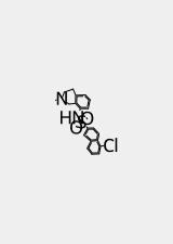 CN1CCc2cccc(NS(=O)(=O)c3ccc4c(Cl)cccc4c3)c2C1